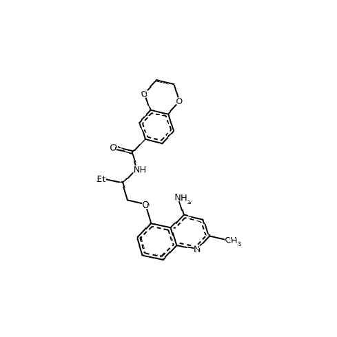 CCC(COc1cccc2nc(C)cc(N)c12)NC(=O)c1ccc2c(c1)OCCO2